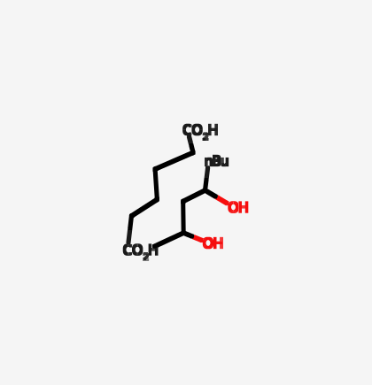 CCCCC(O)CC(C)O.O=C(O)CCCCC(=O)O